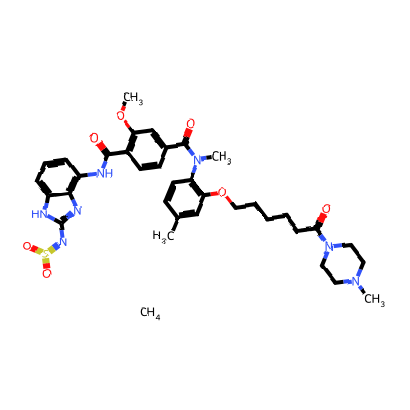 C.COc1cc(C(=O)N(C)c2ccc(C)cc2OCCCCCC(=O)N2CCN(C)CC2)ccc1C(=O)Nc1cccc2[nH]c(N=S(=O)=O)nc12